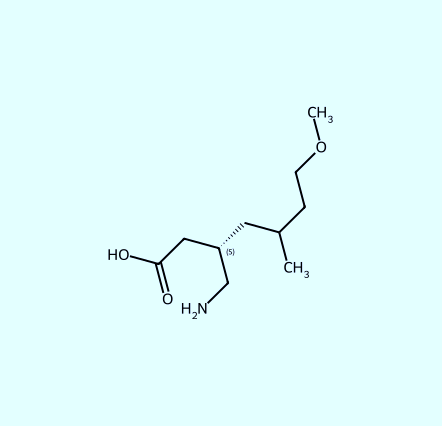 COCCC(C)C[C@H](CN)CC(=O)O